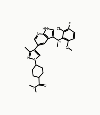 COc1ccc(F)c(Cl)c1[C@@H](C)c1c[nH]c2ncc(-c3cn(C4CCC(C(=O)N(C)C)CC4)nc3C)cc12